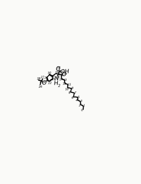 CCCCCCCCCCCCCCCC(=O)C(N)(Cc1ccc(OC(C)(C)C)cc1)C(=O)O